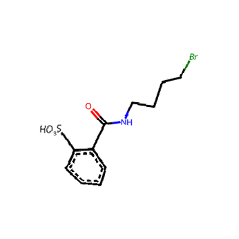 O=C(NCCCCBr)c1ccccc1S(=O)(=O)O